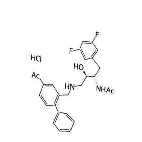 CC(=O)N[C@@H](Cc1cc(F)cc(F)c1)[C@H](O)CNCc1cc(C(C)=O)ccc1-c1ccccc1.Cl